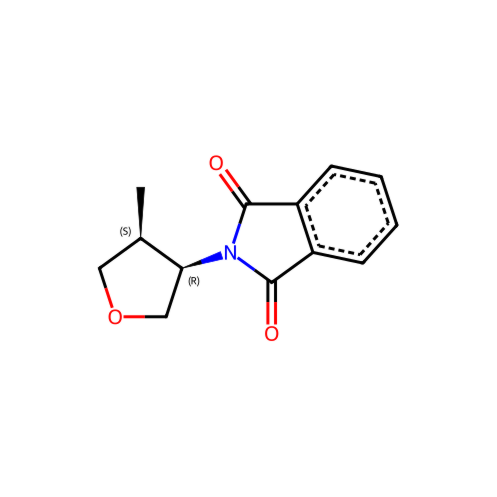 C[C@@H]1COC[C@@H]1N1C(=O)c2ccccc2C1=O